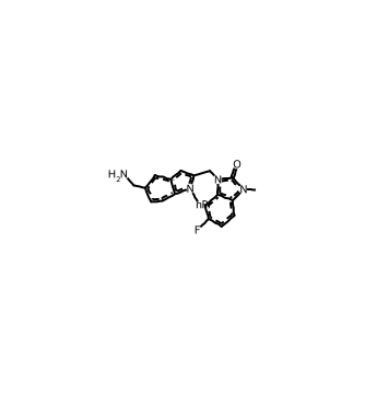 CCCn1c(Cn2c(=O)n(C)c3ccc(F)cc32)cc2cc(CN)ccc21